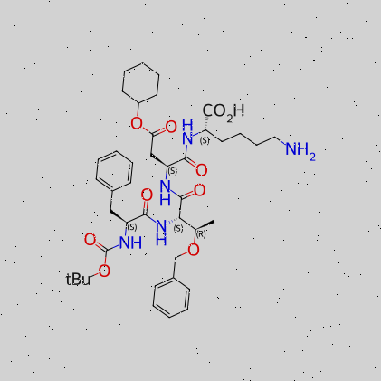 C[C@@H](OCc1ccccc1)[C@H](NC(=O)[C@H](Cc1ccccc1)NC(=O)OC(C)(C)C)C(=O)N[C@@H](CC(=O)OC1CCCCC1)C(=O)N[C@@H](CCCCN)C(=O)O